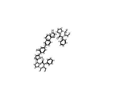 CCN(CC)[C@@H](C(=O)N1CCC[C@H]1c1ncc(-c2ccc(-c3ccc4c(ccc5[nH]c([C@@H]6CCCN6C(=O)[C@@H](c6ccccc6)N(CC)CC)nc54)c3)cc2F)[nH]1)c1ccccc1